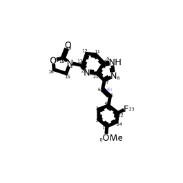 COc1ccc(/C=C/c2n[nH]c3ccc(N4CCOC4=O)nc23)c(F)c1